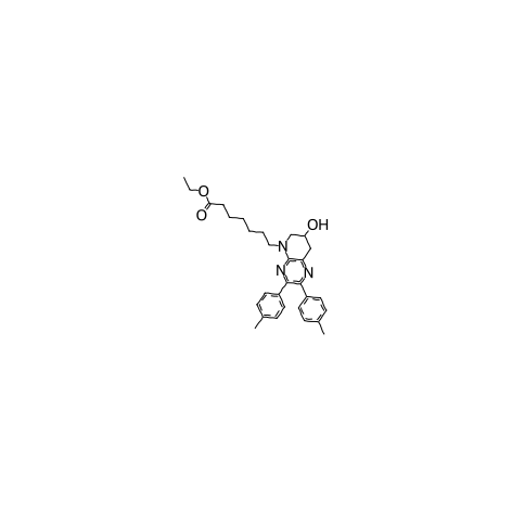 CCOC(=O)CCCCCCN1CC(O)Cc2nc(-c3ccc(C)cc3)c(-c3ccc(C)cc3)nc21